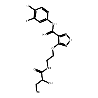 N=C(Nc1ccc(Cl)c(F)c1)c1nonc1OCCNC(=O)C(O)CO